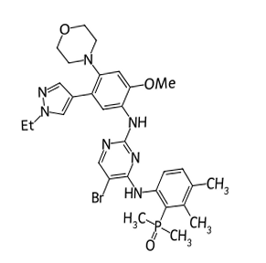 CCn1cc(-c2cc(Nc3ncc(Br)c(Nc4ccc(C)c(C)c4P(C)(C)=O)n3)c(OC)cc2N2CCOCC2)cn1